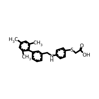 Cc1cc(C)c(-c2cccc(CNc3ccc(SCC(=O)O)cc3)c2)c(C)c1